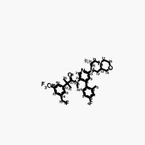 Cc1cc(F)ccc1-c1cc(N2CC3COCCN3C[C@H]2C)ncc1N(C)C(=O)C(C)(C)c1cc(CF)cc(C(F)(F)F)c1